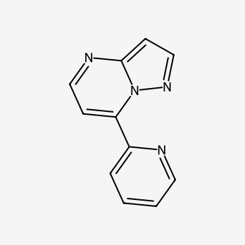 c1ccc(-c2ccnc3ccnn23)nc1